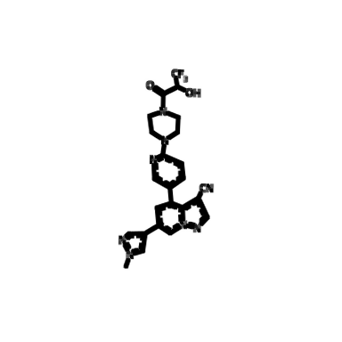 Cn1cc(-c2cc(-c3ccc(N4CCN(C(=O)C(O)C(F)(F)F)CC4)nc3)c3c(C#N)cnn3c2)cn1